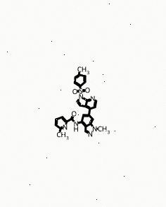 Cc1ccc(S(=O)(=O)n2ccc3c(-c4cc(NC(=O)c5cccc(C)n5)c5cnn(C)c5c4)ccnc32)cc1